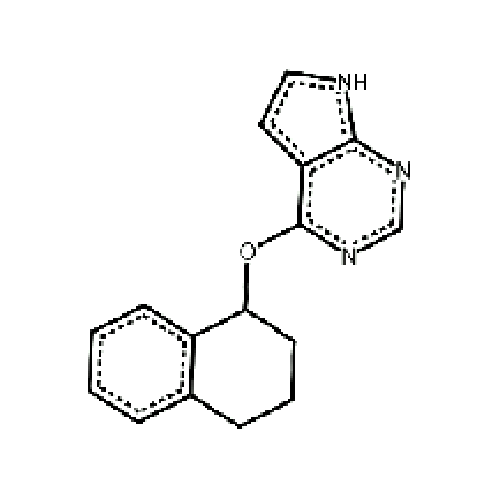 c1ccc2c(c1)CCCC2Oc1ncnc2[nH]ccc12